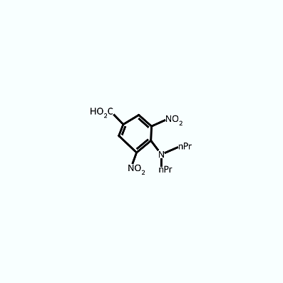 CCCN(CCC)c1c([N+](=O)[O-])cc(C(=O)O)cc1[N+](=O)[O-]